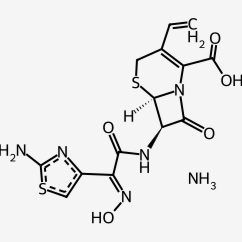 C=CC1=C(C(=O)O)N2C(=O)[C@@H](NC(=O)C(=NO)c3csc(N)n3)[C@H]2SC1.N